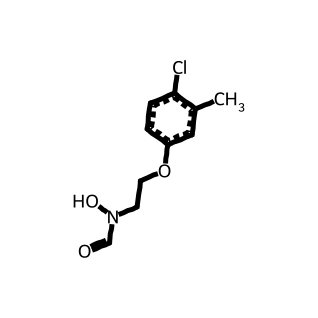 Cc1cc(OCCN(O)C=O)ccc1Cl